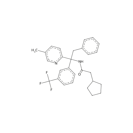 Cc1ccc(C(Cc2ccccc2)(NC(=O)CC2CCCC2)c2cccc(C(F)(F)F)c2)nc1